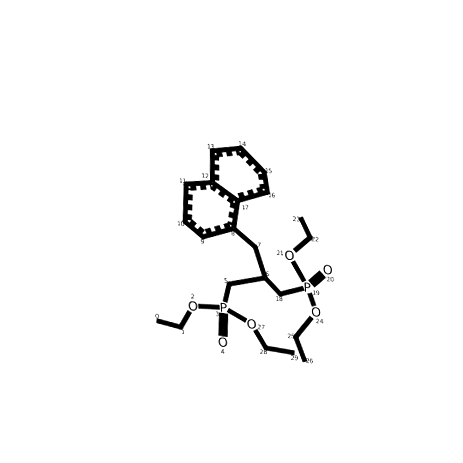 CCOP(=O)(CC(Cc1cccc2ccccc12)CP(=O)(OCC)OCC)OCC